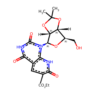 CCOC(=O)c1cc2c(=O)[nH]c(=O)n([C@@H]3O[C@H](CO)[C@H]4OC(C)(C)O[C@H]43)c2[nH]c1=O